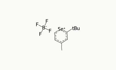 Cc1cc[se+]c(C(C)(C)C)c1.F[B-](F)(F)F